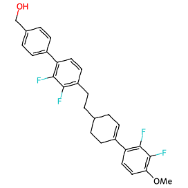 COc1ccc(C2=CCC(CCc3ccc(-c4ccc(CO)cc4)c(F)c3F)CC2)c(F)c1F